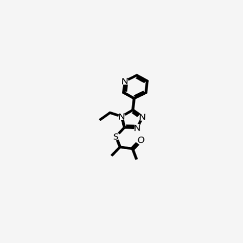 CCn1c(SC(C)C(C)=O)nnc1-c1cccnc1